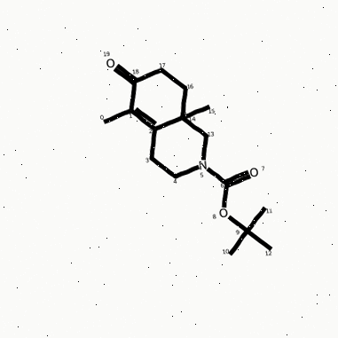 CC1=C2CCN(C(=O)OC(C)(C)C)CC2(C)CCC1=O